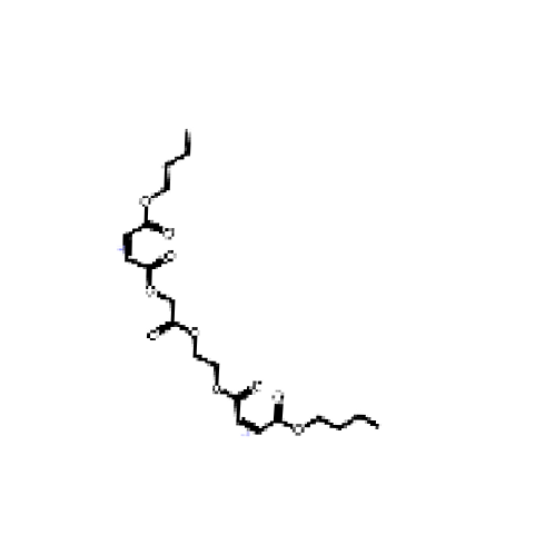 CCCCOC(=O)/C=C\C(=O)OCCOC(=O)COC(=O)/C=C\C(=O)OCCCC